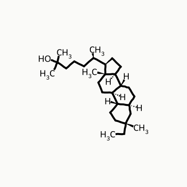 CC[C@]1(C)CC[C@H]2[C@@H](CC[C@@H]3[C@@H]2CC[C@]2(C)[C@@H]([C@H](C)CCCC(C)(C)O)CC[C@@H]32)C1